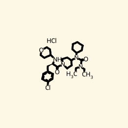 CCN(CC)C(=O)N(C1CCCCC1)C1CCN(C(=O)[C@@H](Cc2ccc(Cl)cc2)NC2CCOCC2)CC1.Cl